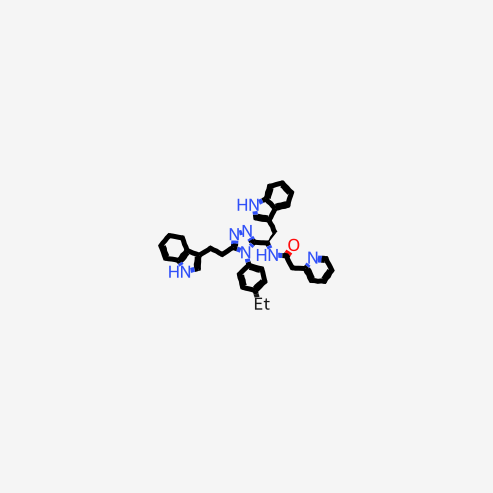 CCc1ccc(-n2c(CCc3c[nH]c4c3CCC=C4)nnc2[C@@H](Cc2c[nH]c3ccccc23)NC(=O)Cc2ccccn2)cc1